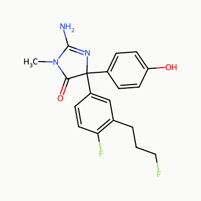 CN1C(=O)C(c2ccc(O)cc2)(c2ccc(F)c(CCCF)c2)N=C1N